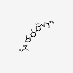 CC(=O)NC[C@H]1CN(c2ccc(-c3ccc(C=NNC(N)=S)c(O)c3)c(F)c2)C(=O)O1